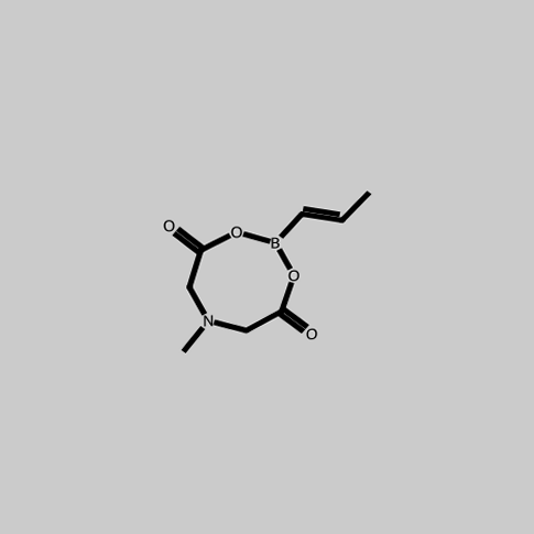 CC=CB1OC(=O)CN(C)CC(=O)O1